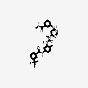 CNC(=O)c1cccc(Nc2cc(N(C)C(=O)Nc3cc(NC(=O)c4cccc(C(F)(F)F)c4)ccc3C)ncn2)c1